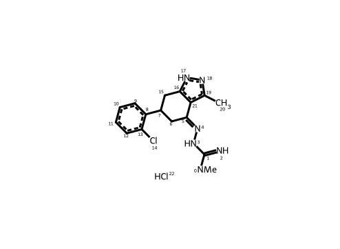 CNC(=N)NN=C1CC(c2ccccc2Cl)Cc2[nH]nc(C)c21.Cl